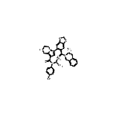 CC(C)N(C(=O)c1cc(-c2cc3c(cc2C(=O)N2Cc4ccccc4C[C@H]2C)OCO3)n2c1CNCC2)c1ccc(O)cc1